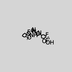 CC(OC(=O)Nc1c(F)cnn1-c1ccc(-c2ccc(C3(C(=O)O)CC3)c(F)c2)nc1)c1ccccc1